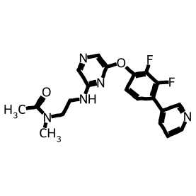 CC(=O)N(C)CCNc1cncc(Oc2ccc(-c3cccnc3)c(F)c2F)n1